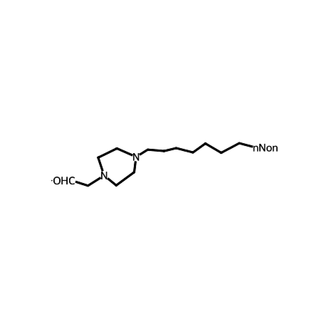 CCCCCCCCCCCCCCCCN1CCN(C[C]=O)CC1